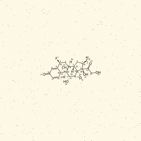 C[C@@H]1C[C@H]2[C@@H]3C[C@H](F)C4=CC(=O)C=C[C@]4(C)[C@@H]3[C@@H](O)C[C@]2(C)[C@@]1(O)C(=O)CO